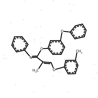 CC(=C\Oc1cccc(C)c1)/C(=N/c1ccccc1)Oc1cccc(Oc2ccccc2)c1